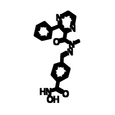 CN(/N=C/c1ccc(C(=O)NO)cc1)C(=O)c1nccnc1-c1ccccc1